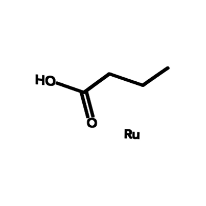 CCCC(=O)O.[Ru]